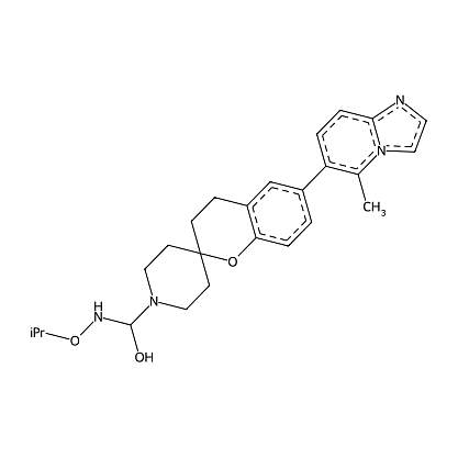 Cc1c(-c2ccc3c(c2)CCC2(CCN(C(O)NOC(C)C)CC2)O3)ccc2nccn12